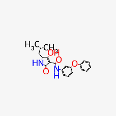 CC(C)CC1NC(=O)C(C(=O)Nc2cccc(Oc3ccccc3)c2)=C1O